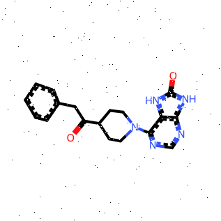 O=C(Cc1ccccc1)C1CCN(c2ncnc3[nH]c(=O)[nH]c23)CC1